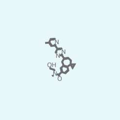 Cc1ccnc(-c2cnc(C3=CCC4(CC4)c4ccc(C(=O)N(C)CCO)cc4C3)nc2)c1